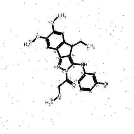 CCC1c2cc(OC)c(OC)cc2-c2nn(C(=O)COC)c(Nc3cccc(Br)c3)c21